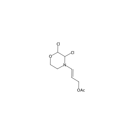 CC(=O)OCC=CN1CCOC(Cl)C1Cl